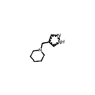 [CH]1CCN(Cc2cn[nH]c2)CC1